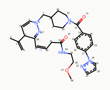 C=C(C)C1C=CN(CC2CCN(C(=O)c3ccc(-n4cccn4)cc3)CC2)N=C1/C=C\CC(=O)NCCOC